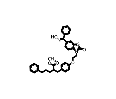 COC(=O)C(CCCc1ccccc1)Cc1ccc(OCCn2c(=O)sc3cc(C(=NO)c4ccccc4)ccc32)cc1